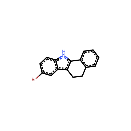 Brc1ccc2[nH]c3c(c2c1)CCc1ccccc1-3